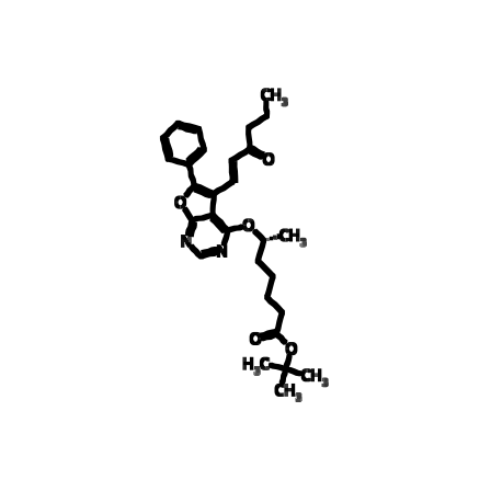 CCCC(=O)/C=C/c1c(-c2ccccc2)oc2ncnc(O[C@H](C)CCCCC(=O)OC(C)(C)C)c12